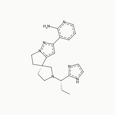 CC[C@@H](c1ncc[nH]1)N1CC[C@@]2(CCn3nc(-c4cccnc4N)cc32)C1